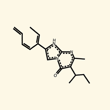 C=C/C=C\C(=C/C)c1cn2c(=O)c(C(C)CC)c(C)nc2[nH]1